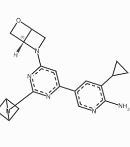 Nc1ncc(-c2cc(N3CC4OC[C@H]43)nc(N3CC4CC3C4)n2)cc1C1CC1